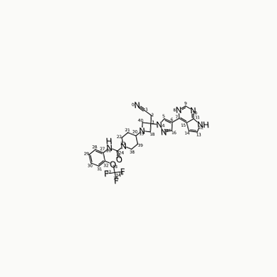 N#CCC1(n2cc(-c3ncnc4[nH]ccc34)cn2)CN(C2CCN(C(=O)Nc3ccccc3OC(F)(F)F)CC2)C1